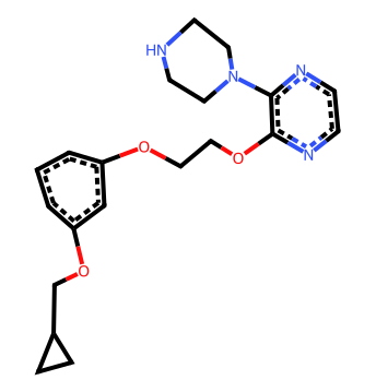 c1cc(OCCOc2nccnc2N2CCNCC2)cc(OCC2CC2)c1